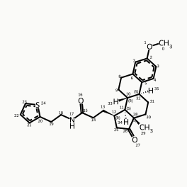 COc1ccc2c(c1)CC[C@H]1[C@@H]3[C@H](CCC(=O)NCCc4cccs4)CC(=O)[C@@]3(C)CC[C@H]21